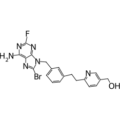 Nc1nc(F)nc2c1nc(Br)n2Cc1cccc(CCc2ccc(CO)cn2)c1